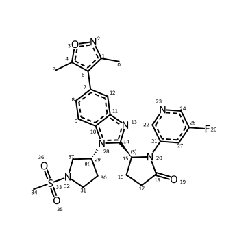 Cc1noc(C)c1-c1ccc2c(c1)nc([C@@H]1CCC(=O)N1c1cncc(F)c1)n2[C@@H]1CCN(S(C)(=O)=O)C1